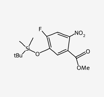 COC(=O)c1cc(O[Si](C)(C)C(C)(C)C)c(F)cc1[N+](=O)[O-]